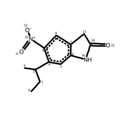 CCC(C)c1cc2c(cc1[N+](=O)[O-])CC(=O)N2